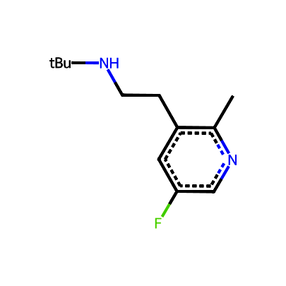 Cc1ncc(F)cc1CCNC(C)(C)C